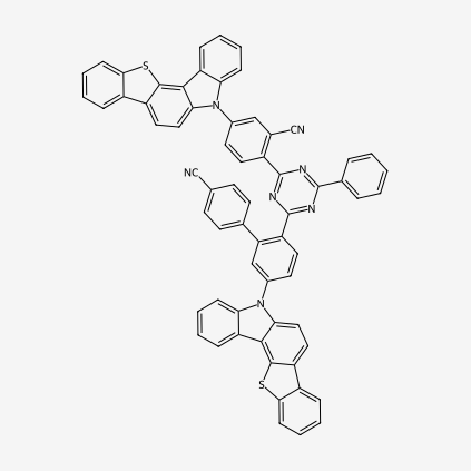 N#Cc1ccc(-c2cc(-n3c4ccccc4c4c5sc6ccccc6c5ccc43)ccc2-c2nc(-c3ccccc3)nc(-c3ccc(-n4c5ccccc5c5c6sc7ccccc7c6ccc54)cc3C#N)n2)cc1